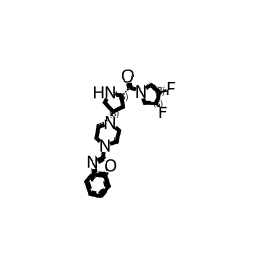 O=C([C@@H]1C[C@H](N2CCN(c3nc4ccccc4o3)CC2)CN1)N1C[C@@H](F)[C@@H](F)C1